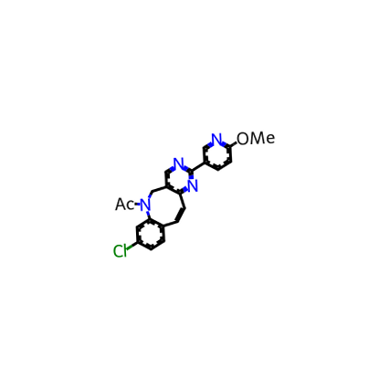 COc1ccc(-c2ncc3c(n2)/C=C\c2ccc(Cl)cc2N(C(C)=O)C3)cn1